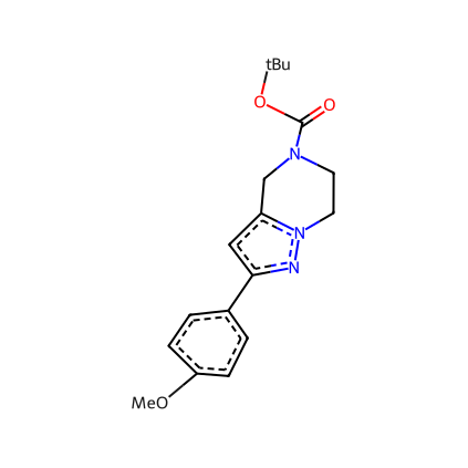 COc1ccc(-c2cc3n(n2)CCN(C(=O)OC(C)(C)C)C3)cc1